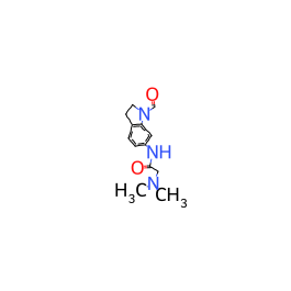 CN(C)CC(=O)Nc1ccc2c(c1)N(C=O)CC2